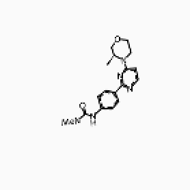 CNC(=O)Nc1ccc(-c2nccc(N3CCOC[C@@H]3C)n2)cc1